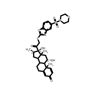 C[C@@H]1CC2C3CCC4=CC(=O)C=CC4(C)C3[C@@H](O)CC2(C)[C@@]1(O)C(=O)CSc1nc2cc(S(=O)(=O)N3CCOCC3)ccc2o1